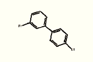 CCc1ccc(-c2cccc(C(C)C)c2)cc1